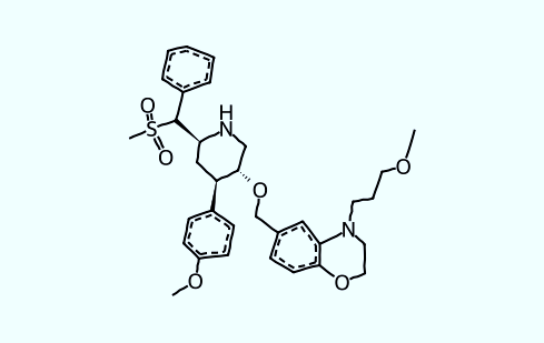 COCCCN1CCOc2ccc(CO[C@H]3CN[C@H](C(c4ccccc4)S(C)(=O)=O)C[C@@H]3c3ccc(OC)cc3)cc21